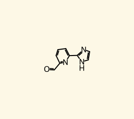 O=Cc1cccc(-c2ncc[nH]2)n1